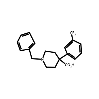 O=C(O)C1(c2cccc(C(F)(F)F)c2)CCN(Cc2ccccc2)CC1